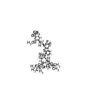 COc1cc(S(C)(=O)=O)ccc1NCC#Cc1sc2c(NC3CC(NC(=O)OC(C)(C)C)CN(C(=O)OC(C)(C)C)CC3C)cccc2c1CC(F)(F)F